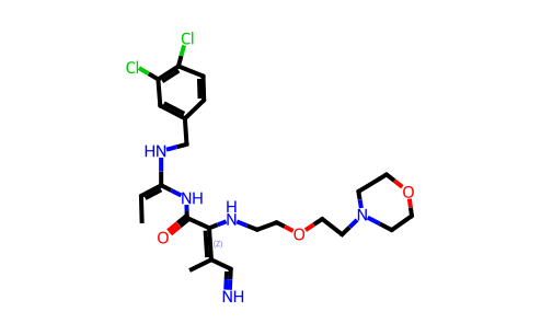 CC=C(NCc1ccc(Cl)c(Cl)c1)NC(=O)/C(NCCOCCN1CCOCC1)=C(\C)C=N